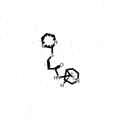 O=C(/C=C\Sc1ncccn1)N[C@H]1CN2CCC1CC2